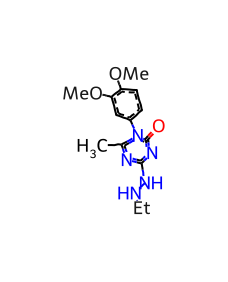 CCNNc1nc(C)n(-c2ccc(OC)c(OC)c2)c(=O)n1